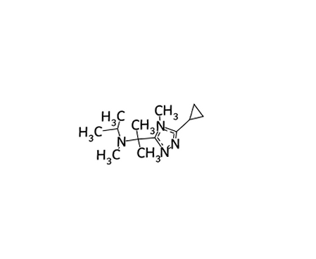 CC(C)N(C)C(C)(C)c1nnc(C2CC2)n1C